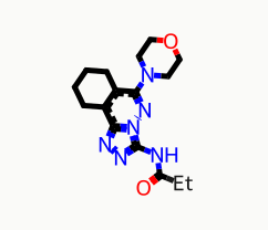 CCC(=O)Nc1nnc2c3c(c(N4CCOCC4)nn12)CCCC3